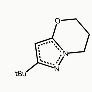 CC(C)(C)c1cc2n(n1)CCCO2